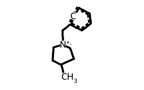 CC1CC[N+](Cc2ccccc2)CC1